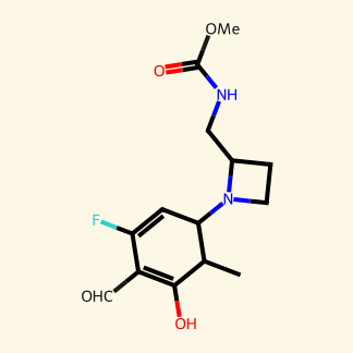 COC(=O)NCC1CCN1C1C=C(F)C(C=O)=C(O)C1C